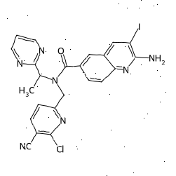 CC(c1ncccn1)N(Cc1ccc(C#N)c(Cl)n1)C(=O)c1ccc2nc(N)c(I)cc2c1